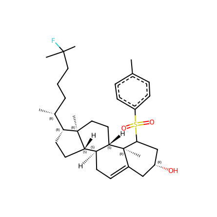 Cc1ccc(S(=O)(=O)C2C[C@H](O)CC3=CC[C@H]4[C@@H]5CC[C@H]([C@H](C)CCCC(C)(C)F)[C@@]5(C)CC[C@@H]4[C@]32C)cc1